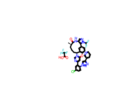 C[C@@H]1CCC[C@H](n2cnc(-c3cc(Cl)ccc3-n3cc(-c4cccnc4)nn3)cc2=O)c2cccc(c2)-c2c(cnn2C(F)F)NC1=O.O=C(O)C(F)(F)F